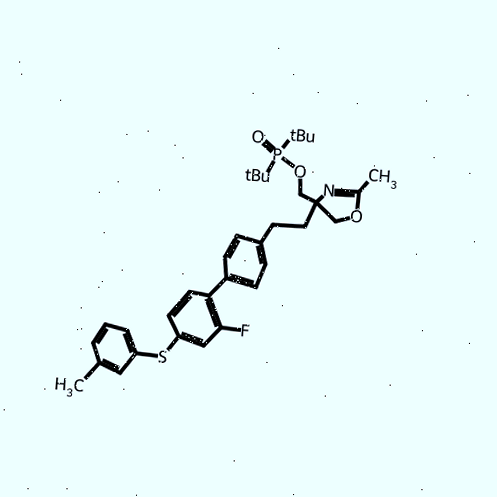 CC1=NC(CCc2ccc(-c3ccc(Sc4cccc(C)c4)cc3F)cc2)(COP(=O)(C(C)(C)C)C(C)(C)C)CO1